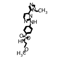 CCn1cncc1-c1ccnc(Nc2ccc(S(=O)(=O)NCCOC)cc2)n1